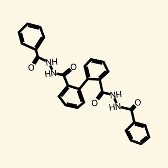 O=C(NNC(=O)c1ccccc1-c1ccccc1C(=O)NNC(=O)c1ccccc1)c1ccccc1